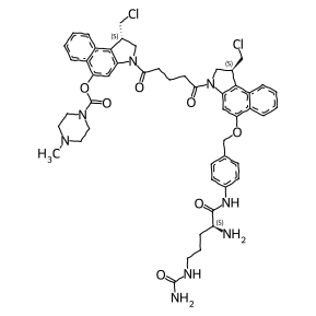 CN1CCN(C(=O)Oc2cc3c(c4ccccc24)[C@H](CCl)CN3C(=O)CCCC(=O)N2C[C@@H](CCl)c3c2cc(OCc2ccc(NC(=O)[C@@H](N)CCCNC(N)=O)cc2)c2ccccc32)CC1